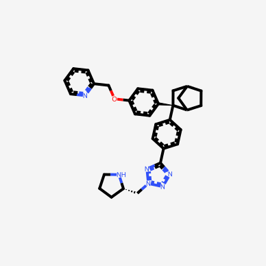 c1ccc(COc2ccc([C@@]3(c4ccc(-c5nnn(C[C@@H]6CCCN6)n5)cc4)CC4CCC3C4)cc2)nc1